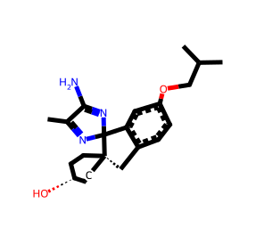 CC1=NC2(N=C1N)c1cc(OCC(C)C)ccc1C[C@]21CC[C@@H](O)CC1